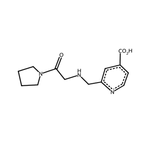 O=C(O)c1ccnc(CNCC(=O)N2CCCC2)c1